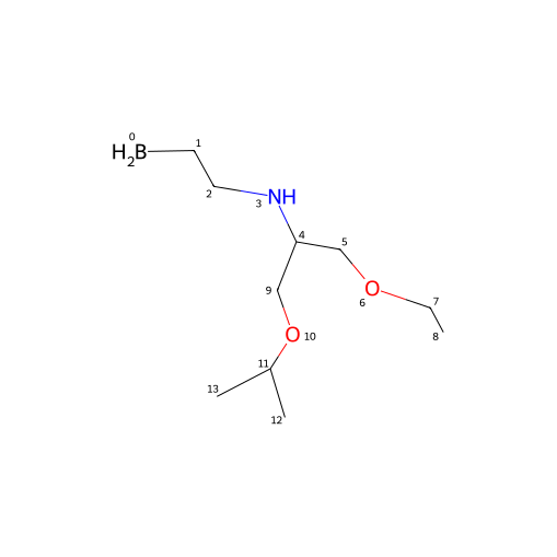 BCCNC(COCC)COC(C)C